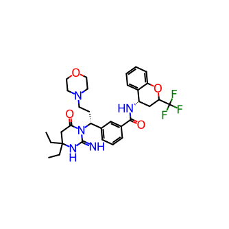 CCC1(CC)CC(=O)N([C@H](CCN2CCOCC2)c2cccc(C(=O)N[C@H]3CC(C(F)(F)F)Oc4ccccc43)c2)C(=N)N1